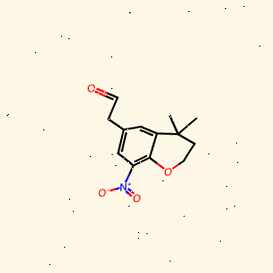 CC1(C)CCOc2c([N+](=O)[O-])cc(CC=O)cc21